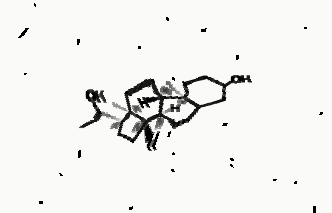 CC(O)[C@H]1CC[C@H]2[C@@H]3CCC4CC(O)CC[C@]4(C)[C@H]3C=C[C@]12C